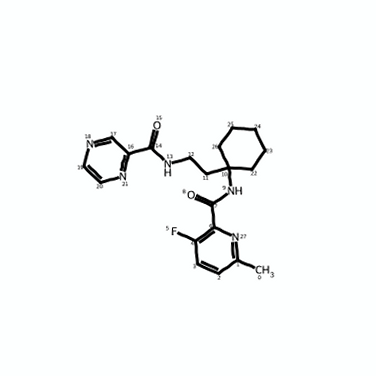 Cc1ccc(F)c(C(=O)NC2(CCNC(=O)c3cnccn3)CCCCC2)n1